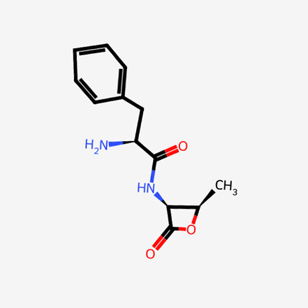 C[C@H]1OC(=O)[C@H]1NC(=O)[C@@H](N)Cc1ccccc1